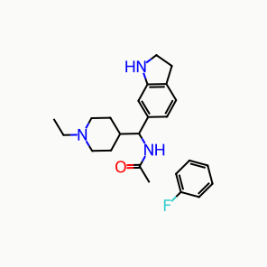 CCN1CCC(C(NC(C)=O)c2ccc3c(c2)NCC3)CC1.Fc1ccccc1